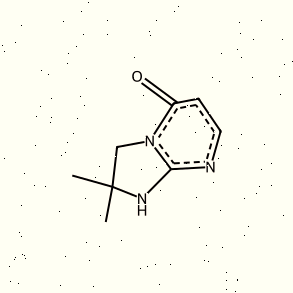 CC1(C)Cn2c(nccc2=O)N1